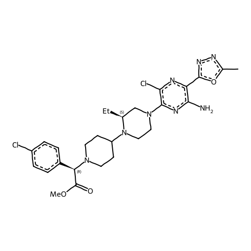 CC[C@H]1CN(c2nc(N)c(-c3nnc(C)o3)nc2Cl)CCN1C1CCN([C@@H](C(=O)OC)c2ccc(Cl)cc2)CC1